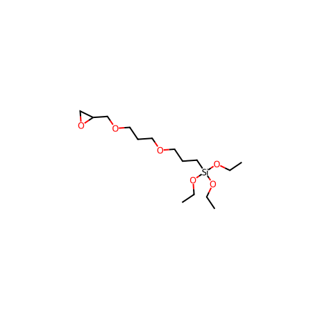 CCO[Si](CCCOCCCOCC1CO1)(OCC)OCC